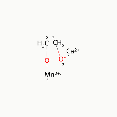 C[O-].C[O-].[Ca+2].[Mn+2]